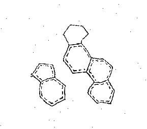 c1ccc2c(c1)ccc1c3c(ccc12)CCCC3.c1ccc2sccc2c1